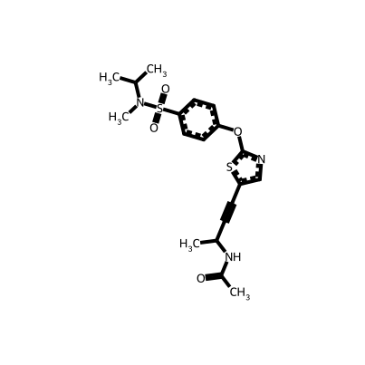 CC(=O)NC(C)C#Cc1cnc(Oc2ccc(S(=O)(=O)N(C)C(C)C)cc2)s1